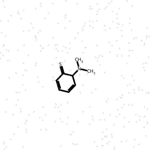 CN(C)C1C=CC=[C]C1=S